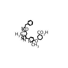 Cc1nc(-c2nnn(C)c2Cc2nnc(Cc3ccccc3)o2)ccc1O[C@H]1CCC[C@H](C(=O)O)C1